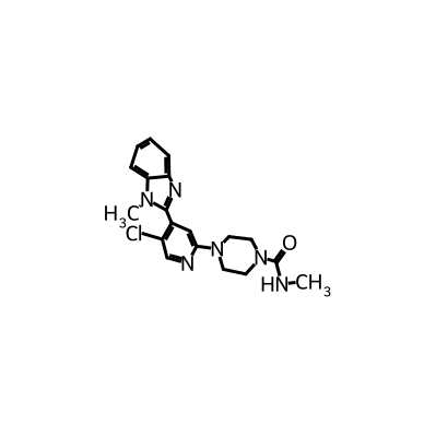 CNC(=O)N1CCN(c2cc(-c3nc4ccccc4n3C)c(Cl)cn2)CC1